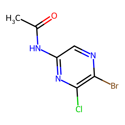 CC(=O)Nc1cnc(Br)c(Cl)n1